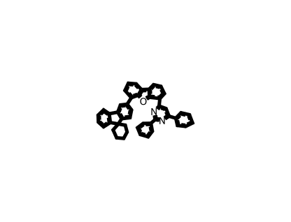 c1ccc(-c2cc(-c3cccc4c3oc3c(-c5ccc6c(c5)-c5ccccc5C65CCCCC5)cccc34)nc(-c3ccccc3)n2)cc1